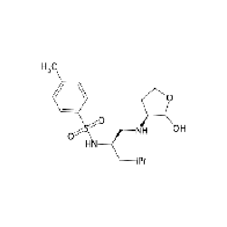 Cc1ccc(S(=O)(=O)N[C@@H](CN[C@H]2CCOC2O)CC(C)C)cc1